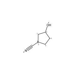 N#CB1CCC(O)C1